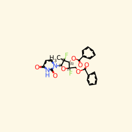 C[C@]1(F)[C@H](n2ccc(=O)[nH]c2=O)O[C@](F)(COC(=O)c2ccccc2)[C@H]1OC(=O)c1ccccc1